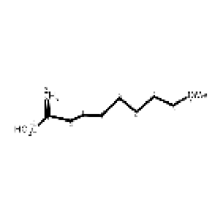 C=C(CCCCCCCOC)C(=O)O